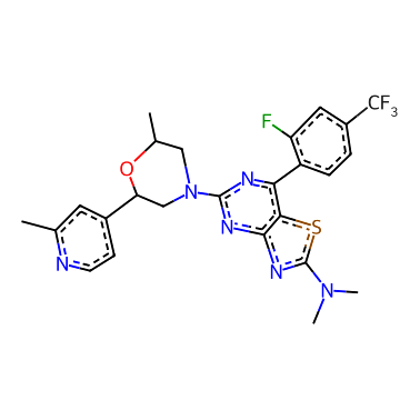 Cc1cc(C2CN(c3nc(-c4ccc(C(F)(F)F)cc4F)c4sc(N(C)C)nc4n3)CC(C)O2)ccn1